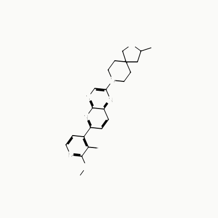 COc1nccc(-c2ccc3nc(N4CCC5(CC4)COC(C)C5)cnc3n2)c1Cl